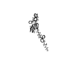 CCCCCCCOC(=O)CCCCCCCOC(Cn1ccnc1)c1ccc(Cl)cc1Cl